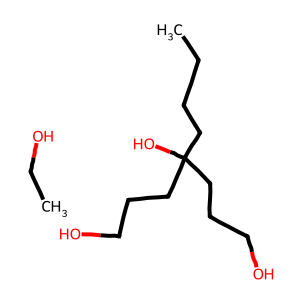 CCCCC(O)(CCCO)CCCO.CCO